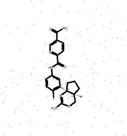 NC(=O)c1ccc(C(=O)Nc2ccc(F)c([C@]34CCC[C@H]3CSC(N)=N4)c2)nc1